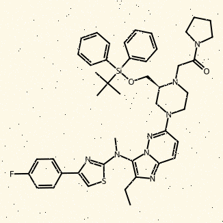 CCc1nc2ccc(N3CCN(CC(=O)N4CCCC4)[C@H](CO[Si](c4ccccc4)(c4ccccc4)C(C)(C)C)C3)nn2c1N(C)c1nc(-c2ccc(F)cc2)cs1